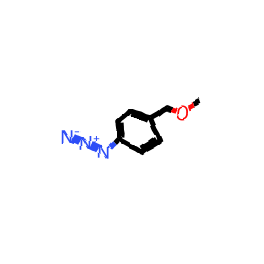 COCc1ccc(N=[N+]=[N-])cc1